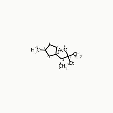 CCC(C)(OC(C)=O)[C@H](C)C1CCC(C)C1